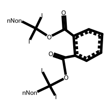 CCCCCCCCCC(I)(I)OC(=O)c1ccccc1C(=O)OC(I)(I)CCCCCCCCC